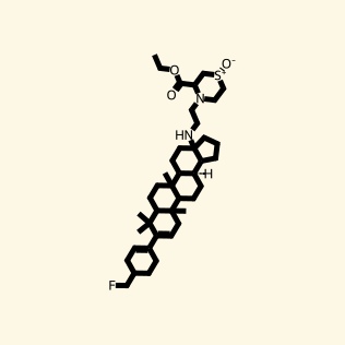 CCOC(=O)C1C[S+]([O-])CCN1CCNC12CCCC1[C@H]1CCC3C(C)(CCC4C(C)(C)C(C5=CCC(CF)CC5)=CCC43C)C1CC2